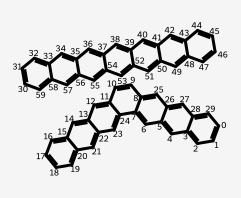 c1ccc2cc3cc4c(ccc5cc6cc7ccccc7cc6cc54)cc3cc2c1.c1ccc2cc3cc4cc5cc6cc7ccccc7cc6cc5cc4cc3cc2c1